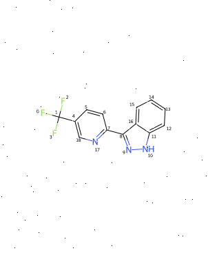 FC(F)(F)c1ccc(-c2n[nH]c3ccccc23)nc1